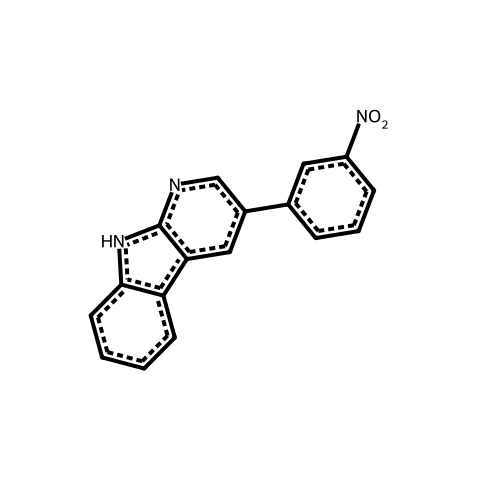 O=[N+]([O-])c1cccc(-c2cnc3[nH]c4ccccc4c3c2)c1